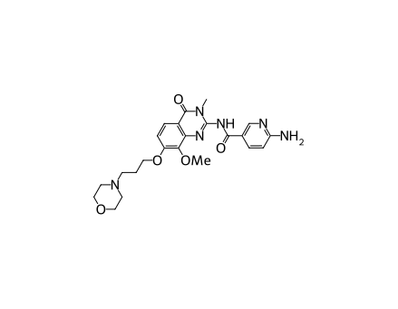 COc1c(OCCCN2CCOCC2)ccc2c(=O)n(C)c(NC(=O)c3ccc(N)nc3)nc12